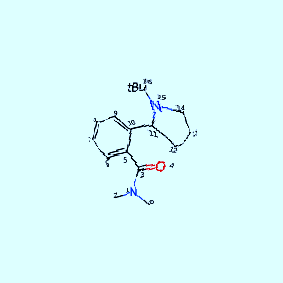 CN(C)C(=O)c1ccccc1C1CCCN1C(C)(C)C